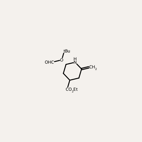 C=C1CC(C(=O)OCC)CCN1.CC(C)(C)OC=O